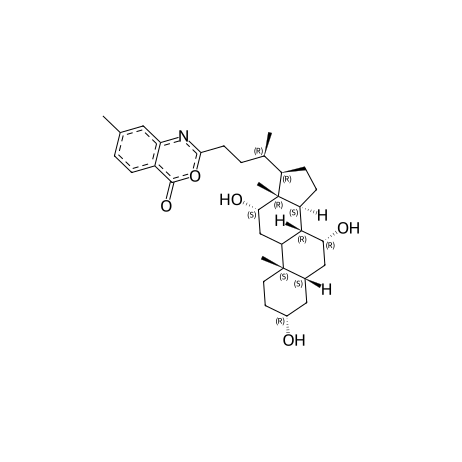 Cc1ccc2c(=O)oc(CC[C@@H](C)[C@H]3CC[C@H]4[C@H]5C(C[C@H](O)[C@]34C)[C@@]3(C)CC[C@@H](O)C[C@H]3C[C@H]5O)nc2c1